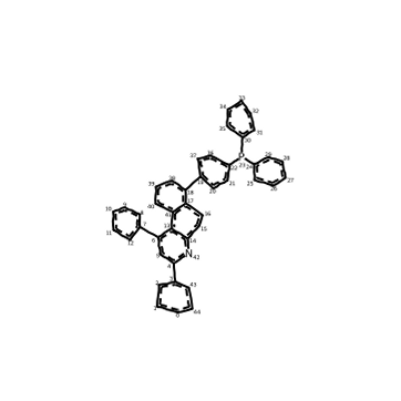 c1ccc(-c2cc(-c3ccccc3)c3c(ccc4c(-c5ccc(P(c6ccccc6)c6ccccc6)cc5)cccc43)n2)cc1